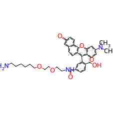 CN(C)c1ccc2c(-c3cc(C(=O)NCCOCCOCCCCCCN)ccc3C(=O)O)c3ccc4cc(=O)ccc4c3oc2c1